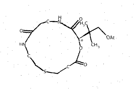 CC(=O)OCC(C)(C)[C@H]1OC(=O)CCSCCNC(=O)CCNC1=O